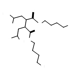 CCCCCOC(=O)C(CC(C)C)C(CC(C)C)C(=O)OCCCCC